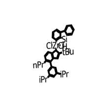 CCCc1ccc2c(c1-c1cc(C(C)C)cc(C(C)C)c1)C=C(C(C)(C)C)[CH]2[Zr]([Cl])([Cl])[c]1cccc2c1[SiH2]c1ccccc1-2